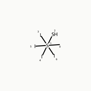 CS(S)(I)(I)(I)I